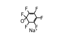 [Na+].[O-]C1(F)C(F)=C(F)C(F)=C(F)C1F